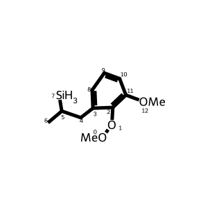 COOc1c(CC(C)[SiH3])cccc1OC